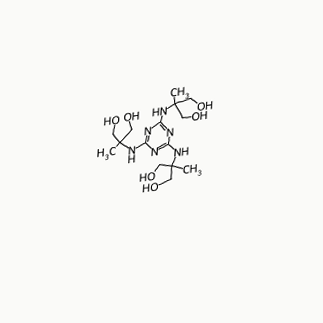 CC(CO)(CO)Nc1nc(NC(C)(CO)CO)nc(NC(C)(CO)CO)n1